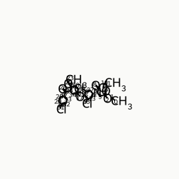 CCOC(=O)CN(C(=O)OCC)c1cc(Cl)c(Oc2ccc(OC)c(C(=O)c3ccc(Cl)cc3)c2)c(Cl)c1